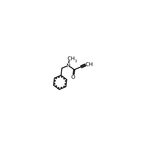 C#CC(=O)N(C)Cc1ccccc1